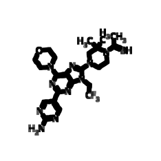 B=C(C)N1CCN(c2nc3c(N4CCOCC4)nc(-c4cnc(N)nc4)nc3n2CC(F)(F)F)CC1(C)C